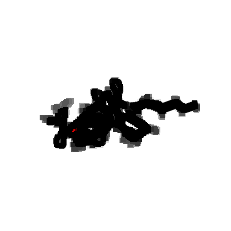 CCCCCN1C(=O)C2(COc3cc4c(cc32)OCO4)c2c(-c3ccc(C(=O)N(C)C)cc3)cccc21